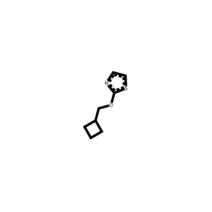 [CH]1CC(COc2nccs2)C1